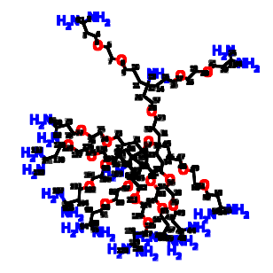 NC(N)CCOCCOCCCC(N)(CCCOCCOCCC(N)N)CCOCCCC(CCCOCCOCCC(N)N)(CCCOCCOCCC(N)N)OC(CCCOCCOCCC(N)N)(CCCOCCOCCC(N)N)C(CCCOCCOCCC(N)N)(CCCOCCOCCC(N)N)C(N)(CCCOCCOCCC(N)N)CCCOCCOCCC(N)N